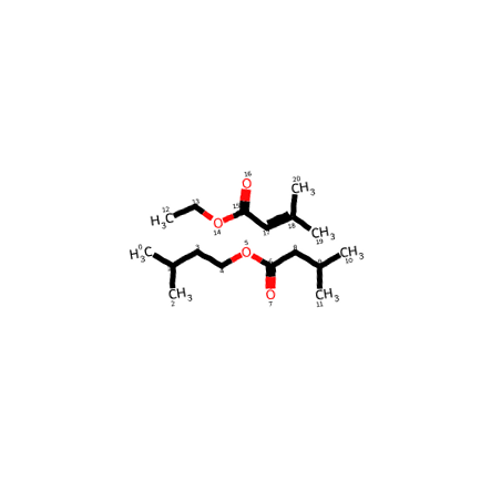 CC(C)CCOC(=O)CC(C)C.CCOC(=O)C=C(C)C